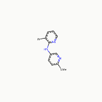 COc1ccc(Nc2ncccc2C(C)C)cn1